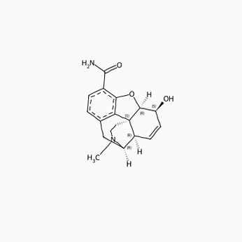 CN1CC[C@]23c4c5ccc(C(N)=O)c4O[C@H]2[C@@H](O)C=C[C@H]3[C@H]1C5